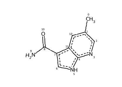 Cc1cnc2[nH]cc(C(N)=O)c2c1